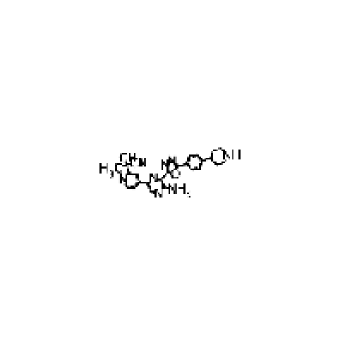 CC(C)(C#N)c1cc(-c2cnc(N)c(-c3nnc(-c4ccc(C5CCNCC5)cc4)o3)n2)ccn1